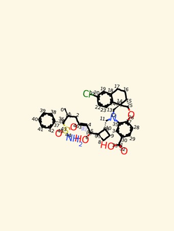 C[C@@H](C/C=C/[C@H](O)[C@@H]1CC[C@H]1CN1C[C@@]2(CCCc3cc(Cl)ccc32)COc2ccc(C(=O)O)cc21)[C@@H](c1ccccc1)S(N)(=O)=O